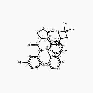 O=C1CC[C@@H](C(=O)N(c2cccc(F)c2)C(C(=O)NC2CC(F)(F)C2)c2c(Cl)cccc2Cl)C1c1ncccn1